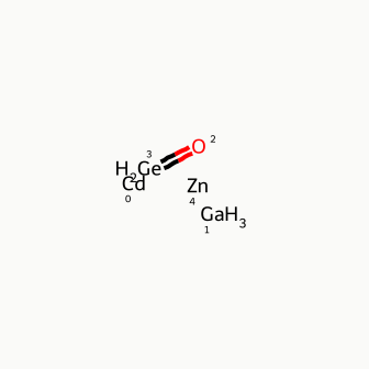 [Cd].[GaH3].[O]=[GeH2].[Zn]